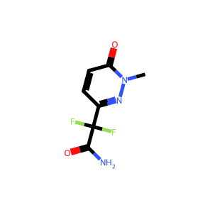 Cn1nc(C(F)(F)C(N)=O)ccc1=O